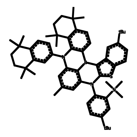 Cc1cc2c3c(c1)N(c1ccc4c(c1)C(C)(C)CCC4(C)C)c1c(ccc4c1C(C)(C)CCC4(C)C)B3c1c(sc3ccc(C(C)(C)C)cc13)N2c1ccc(C(C)(C)C)cc1[Si](C)(C)C